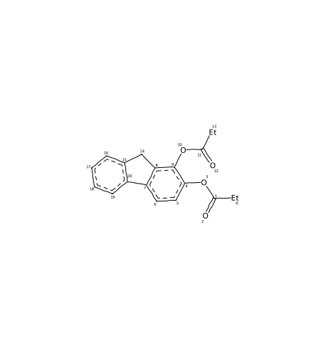 CCC(=O)Oc1ccc2c(c1OC(=O)CC)Cc1ccccc1-2